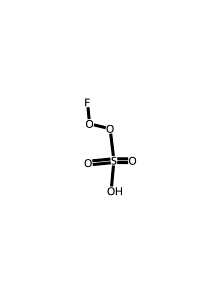 O=S(=O)(O)OOF